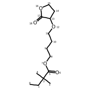 CCC(C)(C)C(=O)OCCCCOC1CCOC1=O